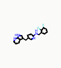 Fc1cccc(CNc2ccc(Cc3c[nH]c4ncccc34)cn2)c1F